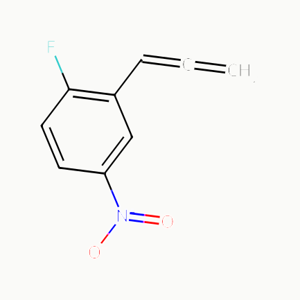 C=C=Cc1cc([N+](=O)[O-])ccc1F